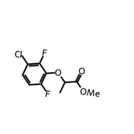 COC(=O)C(C)Oc1c(F)ccc(Cl)c1F